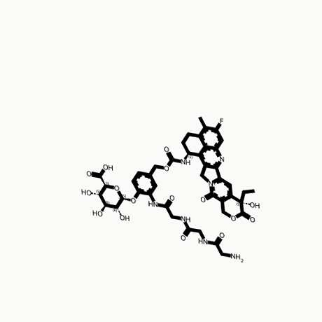 CC[C@@]1(O)C(=O)OCc2c1cc1n(c2=O)Cc2c-1nc1cc(F)c(C)c3c1c2[C@@H](NC(=O)OCc1ccc(O[C@@H]2O[C@H](C(=O)O)[C@@H](O)[C@H](O)[C@H]2O)c(NC(=O)CNC(=O)CNC(=O)CN)c1)CC3